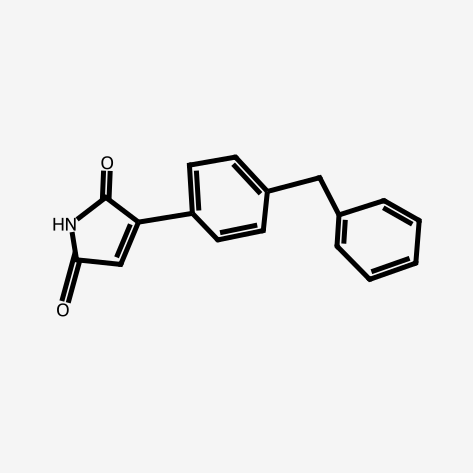 O=C1C=C(c2ccc(Cc3ccccc3)cc2)C(=O)N1